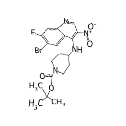 CC(C)(C)OC(=O)N1CCC(Nc2c([N+](=O)[O-])cnc3cc(F)c(Br)cc23)CC1